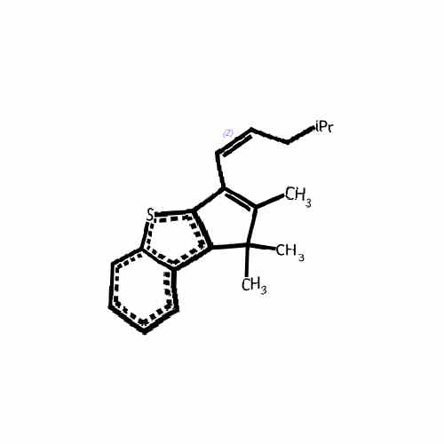 CC1=C(/C=C\CC(C)C)c2sc3ccccc3c2C1(C)C